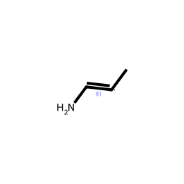 C/[C]=C/N